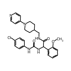 COc1ccccc1C(NC(=O)Nc1ccc(Cl)cc1)C(=O)NCC1CCN(c2ccncc2)CC1